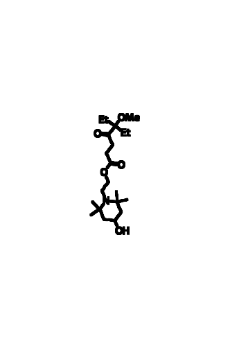 CCC(CC)(OC)C(=O)CCC(=O)OCCN1C(C)(C)CC(O)CC1(C)C